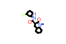 Cn1c(=O)c(C(=O)Nc2cccc(F)c2)cc2ccccc21